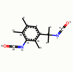 Cc1cc(C(C)(C)N=C=O)c(C)c(N=C=O)c1C